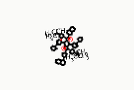 CC(C)(C)c1ccc(-c2c(-c3ccc(-c4cccc5ccccc45)cc3)oc3c(-c4cccc(-c5ccccc5)c4)c4c(-c5ccc(C(C)(C)C)cc5)c(-c5ccc6ccccc6c5)oc4c(-c4cccc(-c5ccccc5)c4)c23)cc1